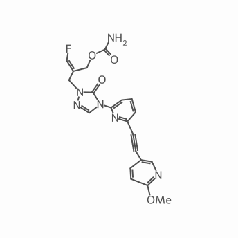 COc1ccc(C#Cc2cccc(-n3cnn(CC(=CF)COC(N)=O)c3=O)n2)cn1